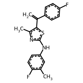 C=C(c1ccc(F)cc1)c1sc(Nc2ccc(F)c(C)c2)nc1C